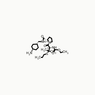 CCCSC(C)(C)[C@@H](NC(=O)OCC)C(=O)N1CCC[C@H]1C(=O)NC[C@H]1CC[C@H](N)CC1